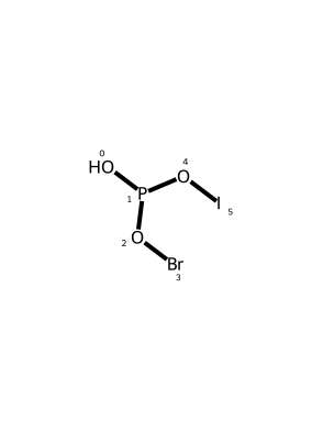 OP(OBr)OI